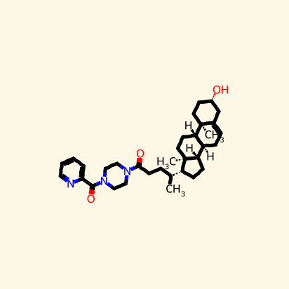 CC(CCC(=O)N1CCN(C(=O)c2ccccn2)CC1)[C@H]1CC[C@H]2[C@@H]3CC=C4C[C@@H](O)CC[C@]4(C)[C@H]3CC[C@]12C